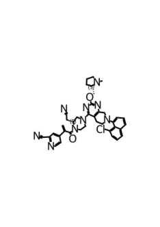 C=C(C(=O)N1CCN(c2nc(OC[C@@H]3CCCN3C)nc3c2CCN(c2cccc4cccc(Cl)c24)C3)C[C@@H]1CC#N)c1ccnc(C#N)c1